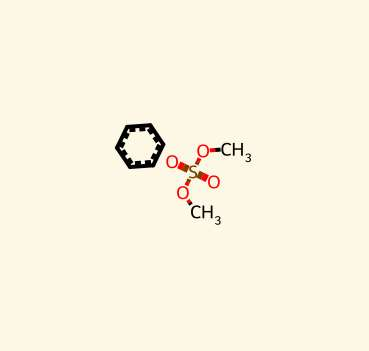 COS(=O)(=O)OC.c1ccccc1